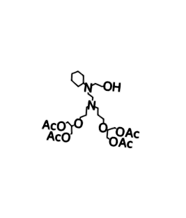 CC(=O)OCC(COC(C)=O)OCCCN(CCCOC(COC(C)=O)COC(C)=O)CCN(CCO)C1CCCCC1